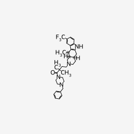 C[C@H]1c2c([nH]c3ccc(C(F)(F)F)cc23)C[C@H]2CCN(CCC(C)(C)C(=O)N3CCN(Cc4ccccc4)CC3)C[C@@H]21